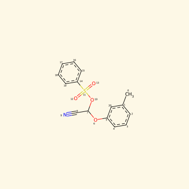 Cc1cccc(OC(C#N)OS(=O)(=O)c2ccccc2)c1